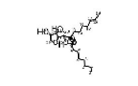 CCCCCCCC(=O)O[C@@]1(C(=O)CCCCCCC)CO[C@@H]2[C@H](O)CO[C@@H]21